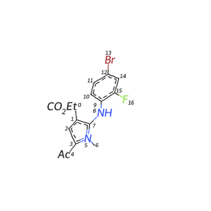 CCOC(=O)c1cc(C(C)=O)n(C)c1Nc1ccc(Br)cc1F